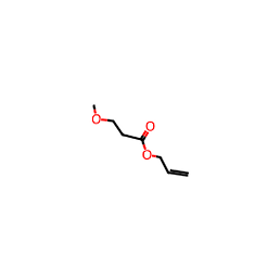 C=CCOC(=O)CCOC